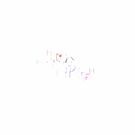 CC(C)(C)C(Oc1cccn2c(CC(C)(C)[N+](=O)[O-])cnc12)C(=O)O